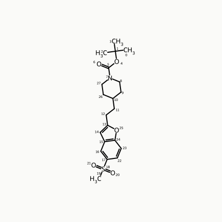 CC(C)(C)OC(=O)N1CCC(CCc2cc3cc(S(C)(=O)=O)ccc3o2)CC1